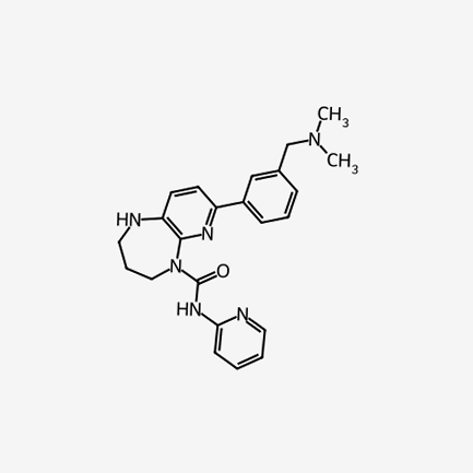 CN(C)Cc1cccc(-c2ccc3c(n2)N(C(=O)Nc2ccccn2)CCCN3)c1